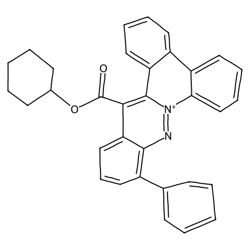 O=C(OC1CCCCC1)c1c2cccc(-c3ccccc3)c2n[n+]2c3ccccc3c3ccccc3c12